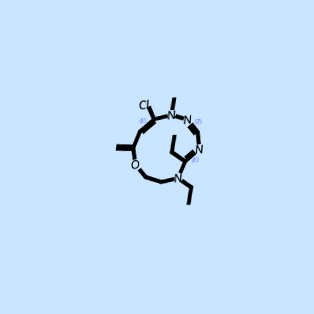 C=C1/C=C(/Cl)N(C)/N=C\N=C(/CC)N(CC)CCO1